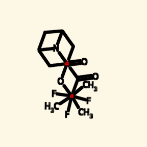 CC(C)(C)OC(=O)N1C2CC1CN(C(=O)C(F)(F)F)C2